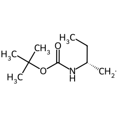 [CH2][C@@H](CC)NC(=O)OC(C)(C)C